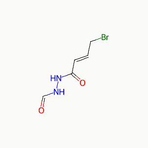 O=CNNC(=O)/C=C/CBr